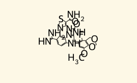 COc1cc(C(Nc2ccc(C(=N)N)cc2)c2nn(-c3ncsc3C(N)=O)c(=O)[nH]2)c(F)c2c1OCOC2